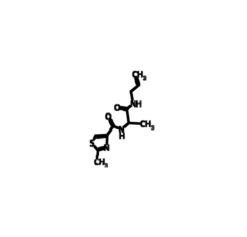 C=CCNC(=O)C(C)NC(=O)c1csc(C)n1